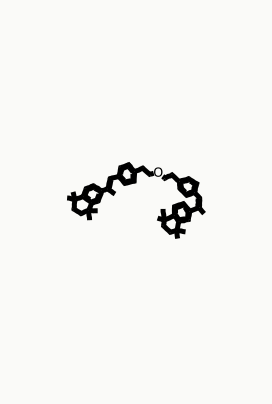 CC(=Cc1ccc(CCOCCc2ccc(C=C(C)c3ccc4c(c3)C(C)(C)CCC4(C)C)cc2)cc1)c1ccc2c(c1)C(C)(C)CCC2(C)C